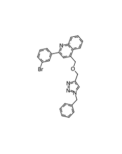 Brc1cccc(-c2cc(COCc3cn(Cc4ccccc4)nn3)c3ccccc3n2)c1